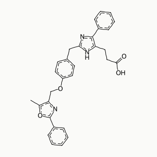 Cc1oc(-c2ccccc2)nc1COc1ccc(Cc2nc(-c3ccccc3)c(CCC(=O)O)[nH]2)cc1